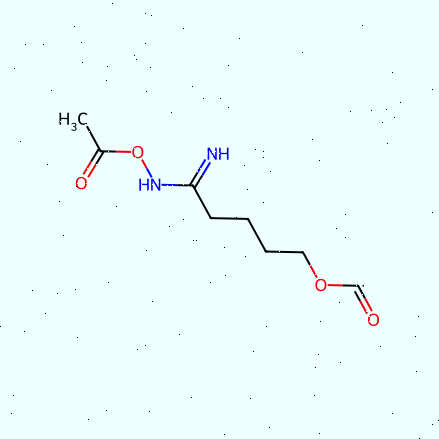 CC(=O)ONC(=N)CCCCO[C]=O